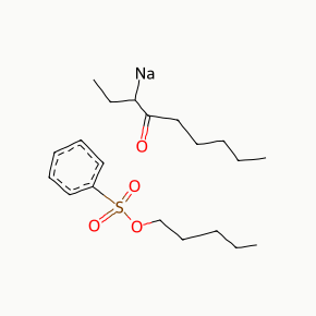 CCCCCC(=O)[CH]([Na])CC.CCCCCOS(=O)(=O)c1ccccc1